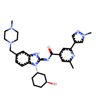 Cc1cc(C(=O)/N=c2\[nH]c3cc(CN4CCN(C)CC4)ccc3n2[C@H]2CCC[C@H](O)C2)cc(-c2cnn(C)c2)n1